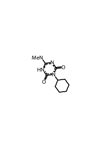 CNc1nc(=O)n(C2CCCCC2)c(=O)[nH]1